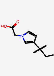 CCC(C)(C)c1ccn(CC(=O)O)c1